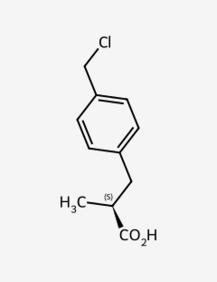 C[C@@H](Cc1ccc(CCl)cc1)C(=O)O